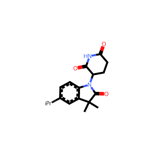 CC(C)c1ccc2c(c1)C(C)(C)C(=O)N2C1CCC(=O)NC1=O